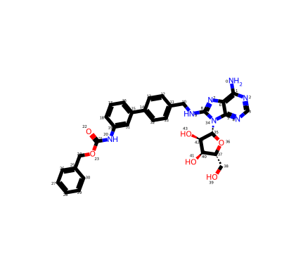 Nc1ncnc2c1nc(NCc1ccc(-c3cccc(NC(=O)OCc4ccccc4)c3)cc1)n2[C@@H]1O[C@H](CO)[C@@H](O)[C@H]1O